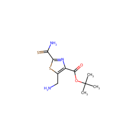 CC(C)(C)OC(=O)c1nc(C(N)=S)sc1CN